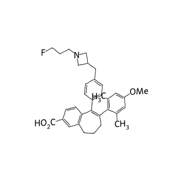 COc1cc(C)c(C2=C(c3ccc(CC4CN(CCCF)C4)cc3)c3ccc(C(=O)O)cc3CCC2)c(C)c1